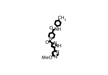 COc1cc(-c2cc(C(=O)N3CCC(C(=O)N[C@H]4CC[C@H](C)CC4)CC3)n[nH]2)ncn1